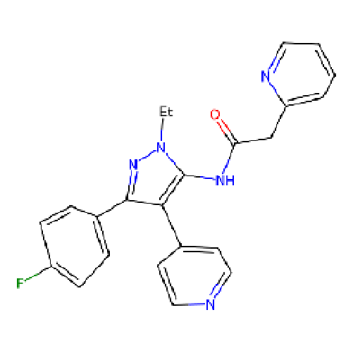 CCn1nc(-c2ccc(F)cc2)c(-c2ccncc2)c1NC(=O)Cc1ccccn1